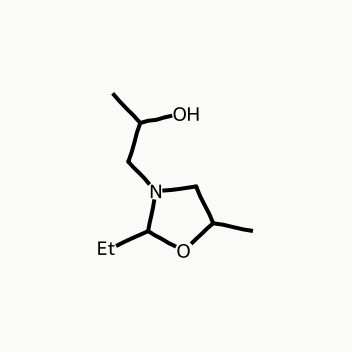 CCC1OC(C)CN1CC(C)O